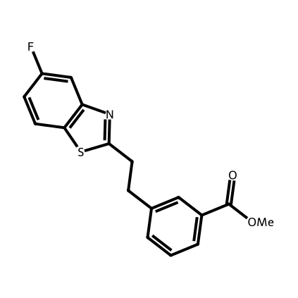 COC(=O)c1cccc(CCc2nc3cc(F)ccc3s2)c1